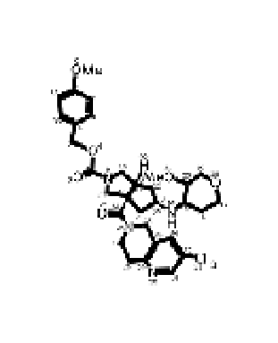 COc1ccc(COC(=O)N2C[C@@H]3C[C@@H](NC4CCOCC4OC)C[C@]3(C(=O)N3CCc4ncc(C(F)(F)F)cc4C3)C2)cc1